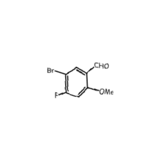 COc1cc(F)c(Br)cc1C=O